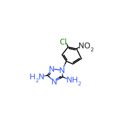 Nc1nc(N)n(-c2ccc([N+](=O)[O-])c(Cl)c2)n1